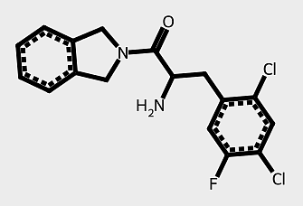 NC(Cc1cc(F)c(Cl)cc1Cl)C(=O)N1Cc2ccccc2C1